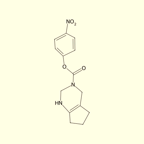 O=C(Oc1ccc([N+](=O)[O-])cc1)N1CNC2=C(CCC2)C1